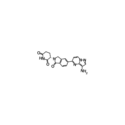 Nc1cnn2ccc(-c3ccc4c(c3)CN([C@H]3CCC(=O)NC3=O)C4=O)nc12